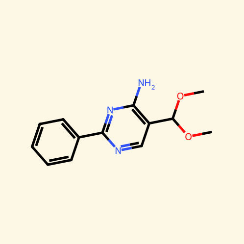 COC(OC)c1cnc(-c2ccccc2)nc1N